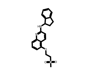 CS(=O)(=O)CCOc1cccc2nc(NC3CCc4ccccc43)ccc12